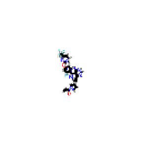 C=CC(=O)N1CC[C@@H](C#Cc2ncnc(N)c2/C(=N\C)c2ccc(Oc3nccc(C(F)(F)F)n3)cc2F)C1